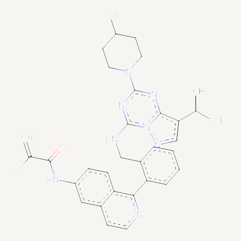 C=C(F)C(=O)Nc1ccc2c(-c3ccccc3CNc3nc(N4CCC(C)CC4)nc4c(C(C)C)cnn34)nccc2c1